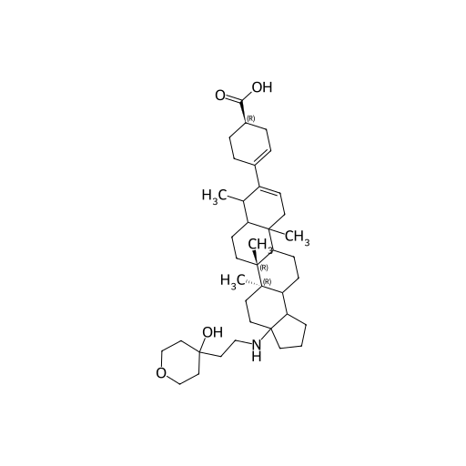 CC1C(C2=CC[C@H](C(=O)O)CC2)=CCC2(C)C1CC[C@]1(C)C2CCC2C3CCCC3(NCCC3(O)CCOCC3)CC[C@]21C